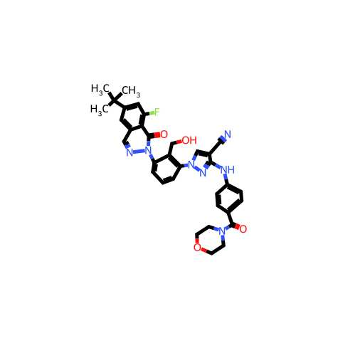 CC(C)(C)c1cc(F)c2c(=O)n(-c3cccc(-n4cc(C#N)c(Nc5ccc(C(=O)N6CCOCC6)cc5)n4)c3CO)ncc2c1